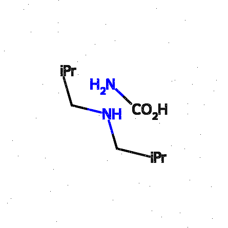 CC(C)CNCC(C)C.NC(=O)O